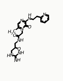 Cc1cnc(NCCc2ccccn2)c(=O)n1CC(=O)NCC1CNC(=N)NO1